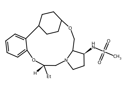 CC[C@H]1CN2CC[C@H](NS(C)(=O)=O)C2COC2CCC(CC2)c2ccccc2O1